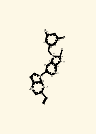 C=Cc1cnc2ccn(-c3cnc4nc(C)n(Cc5cc(F)cc(F)c5)c4c3)c2n1